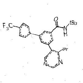 CC(C)c1ncncc1-c1cc(C(=O)NC(C)(C)C)cc(-c2ccc(C(F)(F)F)cc2)c1